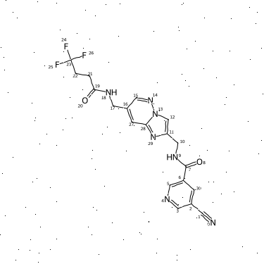 N#Cc1cncc(C(=O)NCc2cn3ncc(CNC(=O)CCC(F)(F)F)cc3n2)c1